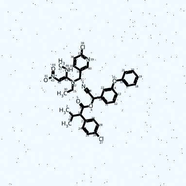 CC(C)C(C(=O)OC(C#N)c1cccc(Oc2ccccc2)c1)c1ccc(Cl)cc1.CCN(Cc1ccc(Cl)nc1)/C(=C/[N+](=O)[O-])NC